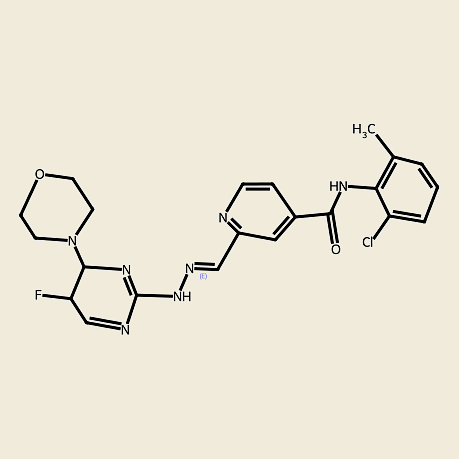 Cc1cccc(Cl)c1NC(=O)c1ccnc(/C=N/NC2=NC(N3CCOCC3)C(F)C=N2)c1